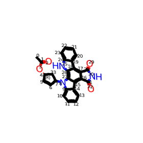 CC(=O)O[C@H]1C=CC(n2c3ccccc3c3c4c(c5c6ccccc6[nH]c5c32)C(=O)NC4=O)C1